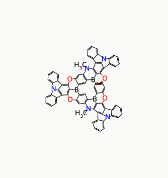 CN1c2cc3c(cc2B2c4ccccc4Oc4c2c1c1c2ccccc2n2c5ccccc5c4c12)B1c2cc4c(cc2Oc2c1c(c1c5ccccc5n5c6ccccc6c2c15)O3)N(C)c1c2c(c3c5ccccc5n5c6ccccc6c1c35)Oc1ccccc1B42